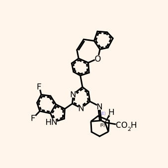 O=C(O)[C@H]1/C(=N/c2cc(-c3ccc4c(c3)Oc3ccccc3C=C4)nc(-c3c[nH]c4c(F)cc(F)cc34)n2)C2CCC1CC2